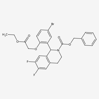 CCOC(=O)COc1ccc(Br)cc1C1c2cc(F)c(F)cc2CCN1C(=O)OCc1ccccc1